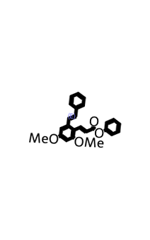 COc1cc(/C=C/c2ccccc2)c(C=CC(=O)Oc2ccccc2)c(OC)c1